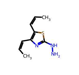 C/C=C\c1nc(NN)sc1/C=C\C